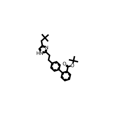 CC(C)(C)Cc1c[nH]c(CCc2ccc(-c3ccccc3C(=O)OC(C)(C)C)cc2)n1